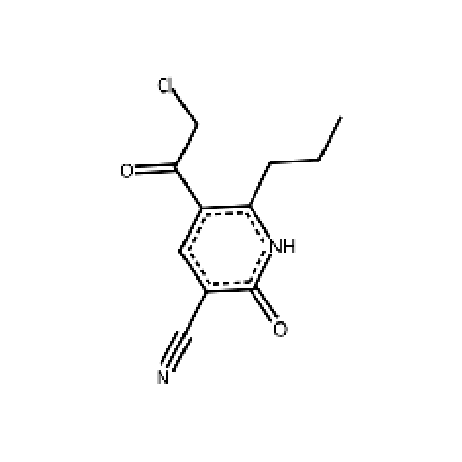 CCCc1[nH]c(=O)c(C#N)cc1C(=O)CCl